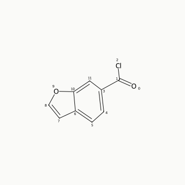 O=C(Cl)c1ccc2ccoc2c1